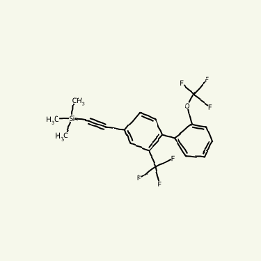 C[Si](C)(C)C#Cc1ccc(-c2ccccc2OC(F)(F)F)c(C(F)(F)F)c1